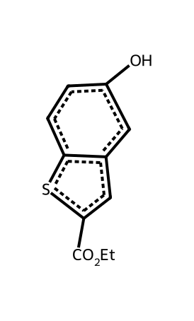 CCOC(=O)c1cc2cc(O)ccc2s1